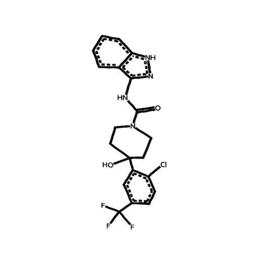 O=C(Nc1n[nH]c2ccccc12)N1CCC(O)(c2cc(C(F)(F)F)ccc2Cl)CC1